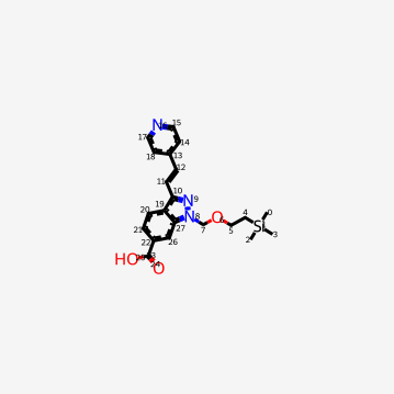 C[Si](C)(C)CCOCn1nc(C=Cc2ccncc2)c2ccc(C(=O)O)cc21